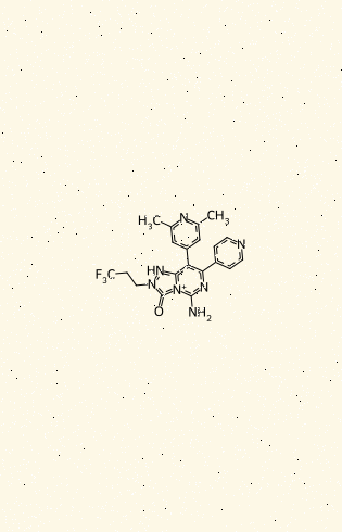 Cc1cc(-c2c(-c3ccncc3)nc(N)[n+]3c(=O)n(CCC(F)(F)F)[nH]c23)cc(C)n1